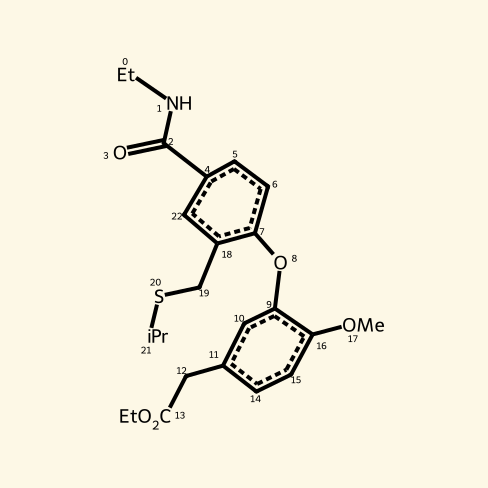 CCNC(=O)c1ccc(Oc2cc(CC(=O)OCC)ccc2OC)c(CSC(C)C)c1